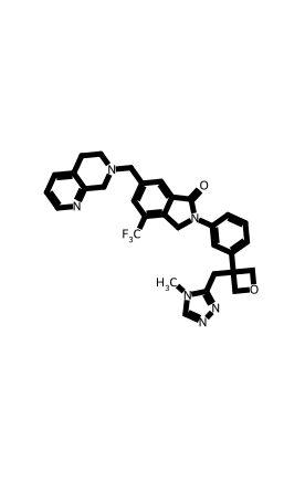 Cn1cnnc1CC1(c2cccc(N3Cc4c(cc(CN5CCc6cccnc6C5)cc4C(F)(F)F)C3=O)c2)COC1